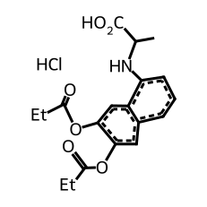 CCC(=O)Oc1cc2cccc(NC(C)C(=O)O)c2cc1OC(=O)CC.Cl